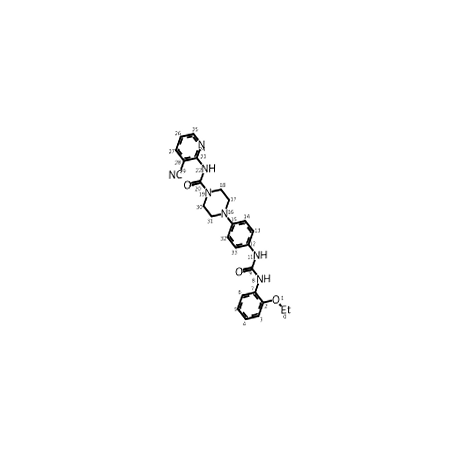 CCOc1ccccc1NC(=O)Nc1ccc(N2CCN(C(=O)Nc3ncccc3C#N)CC2)cc1